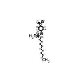 C=CCCCCCCCCCP(=O)(OC)Oc1ccc([N+](=O)[O-])cc1